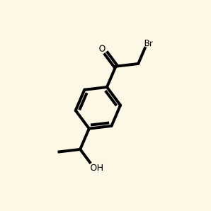 CC(O)c1ccc(C(=O)CBr)cc1